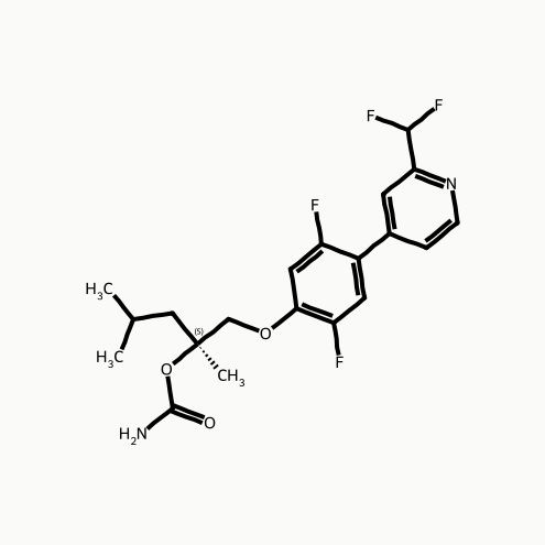 CC(C)C[C@@](C)(COc1cc(F)c(-c2ccnc(C(F)F)c2)cc1F)OC(N)=O